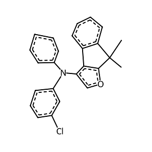 CC1(C)c2ccccc2-c2c(N(c3ccccc3)c3cccc(Cl)c3)coc21